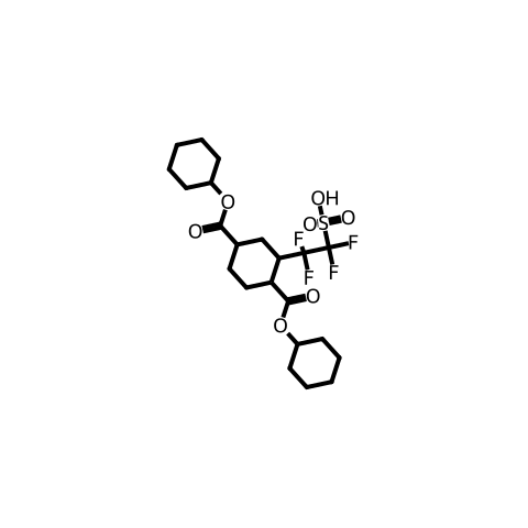 O=C(OC1CCCCC1)C1CCC(C(=O)OC2CCCCC2)C(C(F)(F)C(F)(F)S(=O)(=O)O)C1